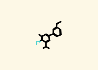 CCc1cccc(-c2cc(C)c(F)c(C(C)C)c2)c1